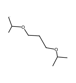 [CH2]C(C)OCCCOC(C)C